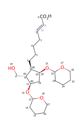 O=C(O)/C=C/CCCC[C@@H]1[C@@H](CO)[C@H](OC2CCCCO2)C[C@@H]1OC1CCCCO1